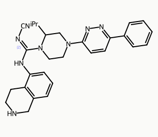 CC(C)C1CN(c2ccc(-c3ccccc3)nn2)CCN1/C(=N\C#N)Nc1cccc2c1CCNC2